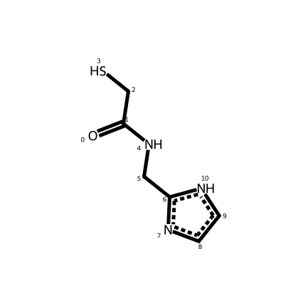 O=C(CS)NCc1ncc[nH]1